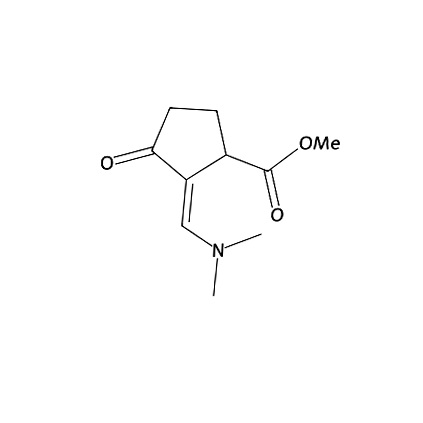 COC(=O)C1CCC(=O)/C1=C/N(C)C